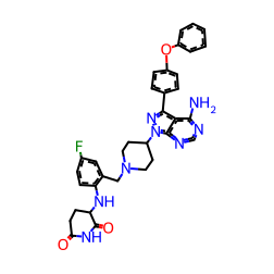 Nc1ncnc2c1c(-c1ccc(Oc3ccccc3)cc1)nn2C1CCN(Cc2cc(F)ccc2NC2CCC(=O)NC2=O)CC1